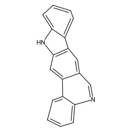 c1ccc2c(c1)ncc1cc3c(cc12)[nH]c1ccccc13